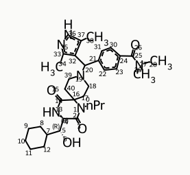 CCCN1C(=O)[C@@H]([C@H](O)C2CCCCC2)NC(=O)C12CCN(C(c1ccc(C(=O)N(C)C)cc1)c1c(C)n[nH]c1C)CC2